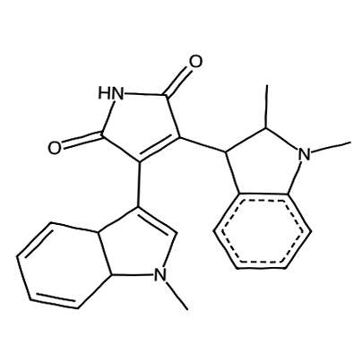 CC1C(C2=C(C3=CN(C)C4C=CC=CC34)C(=O)NC2=O)c2ccccc2N1C